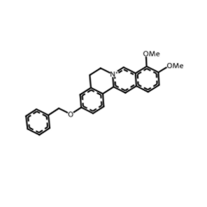 COc1ccc2cc3[n+](cc2c1OC)CCc1cc(OCc2ccccc2)ccc1-3